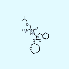 CC(C)COC[C@H](N)C(=O)N[C@@H](Cc1ccccc1)C(=O)OC1CCCCCCCC1